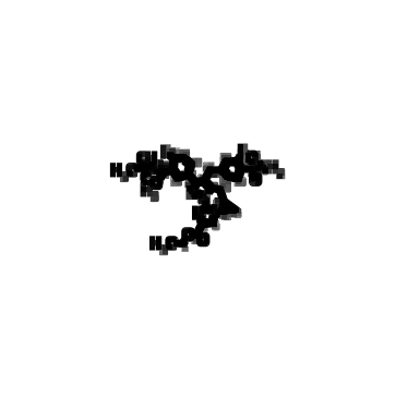 CCOC(=O)c1csc(-n2nc(-c3ccc(F)c(C(=O)NC(C)(C)C)c3)c(Cc3ccc(S(N)(=O)=O)c(F)c3)c2CC2CC2)n1